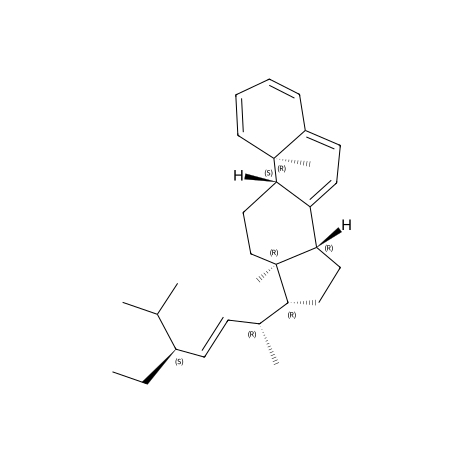 CC[C@H](C=C[C@@H](C)[C@H]1CC[C@H]2C3=CC=C4C=CC=C[C@]4(C)[C@H]3CC[C@]12C)C(C)C